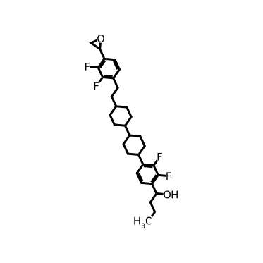 CCCC(O)c1ccc(C2CCC(C3CCC(CCc4ccc(C5CO5)c(F)c4F)CC3)CC2)c(F)c1F